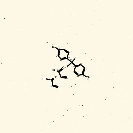 C=CC(=O)O.C=CC(=O)O.CC(C)(c1ccc(O)cc1)c1ccc(O)cc1